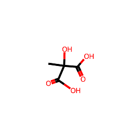 CC(O)(C(=O)O)C(=O)O